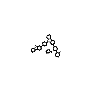 Cc1ccccc1-c1ccc(-c2ccc3c4ccccc4n(-c4ccc(-c5ccc6c(c5)oc5ccccc56)cc4)c3c2)cc1Oc1ccccc1